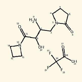 NC(CN1CCCC1=O)C(O)C(=O)N1CCC1.O=C(O)C(F)(F)F